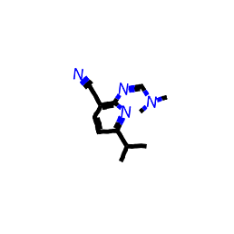 CC(C)c1ccc(C#N)c(/N=C\N(C)C)n1